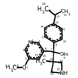 COc1cncc(C(O)(c2ccc(C(C)C)cc2)C2(C)CNC2)c1